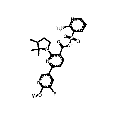 COc1ncc(-c2ccc(C(=O)NS(=O)(=O)c3cccnc3N)c(N3CCC(C)C3(C)C)n2)cc1F